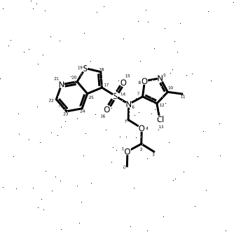 COC(C)OCN(c1onc(C)c1Cl)S(=O)(=O)c1csc2ncccc12